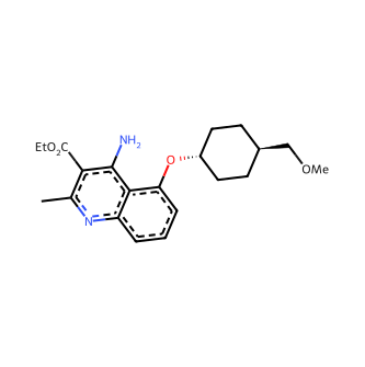 CCOC(=O)c1c(C)nc2cccc(O[C@H]3CC[C@H](COC)CC3)c2c1N